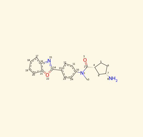 CN(C(=O)[C@@H]1CC[C@H](N)C1)c1ccc(-c2nc3ccccc3o2)cc1